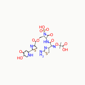 CC(C)(O/N=C(\C(=O)N[C@@H]1C(=O)N(S(=O)(=O)O)[C@@H]1COC(=O)c1csc(-c2cc(=O)c(O)c[nH]2)n1)C1CSC(N)=N1)C(=O)O